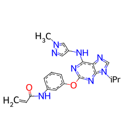 C=CC(=O)Nc1cccc(Oc2nc(Nc3cnn(C)c3)c3ncn(C(C)C)c3n2)c1